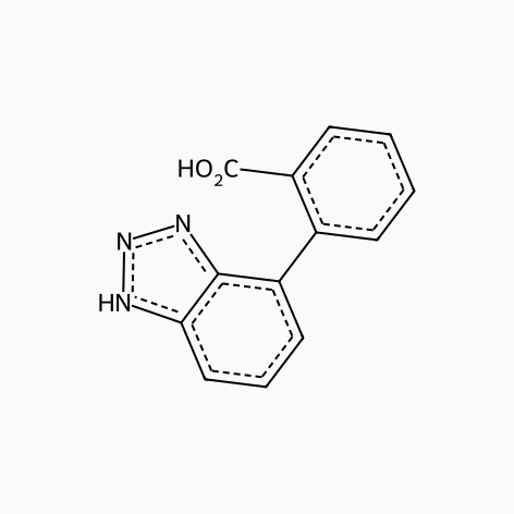 O=C(O)c1ccccc1-c1cccc2[nH]nnc12